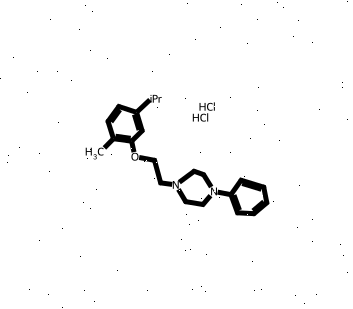 Cc1ccc(C(C)C)cc1OCCN1CCN(c2ccccc2)CC1.Cl.Cl